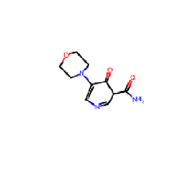 NC(=O)C1C=NC=C(N2CCOCC2)C1=O